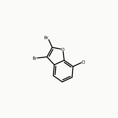 Clc1cccc2c(Br)c(Br)oc12